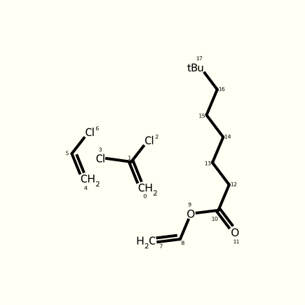 C=C(Cl)Cl.C=CCl.C=COC(=O)CCCCCC(C)(C)C